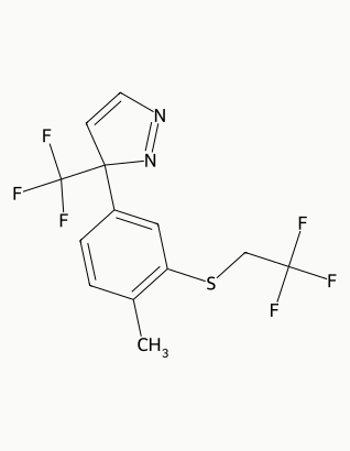 Cc1ccc(C2(C(F)(F)F)C=CN=N2)cc1SCC(F)(F)F